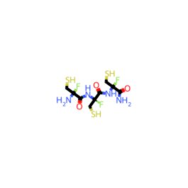 NC(=O)C(F)(CS)NC(=O)[C@](F)(CS)NC(=O)C(N)(F)CS